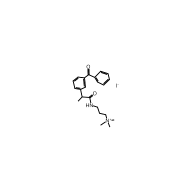 CC(C(=O)NCCC[N+](C)(C)C)c1cccc(C(=O)c2ccccc2)c1.[I-]